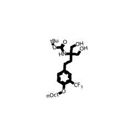 CCCCCCCCOc1ccc(CCC(CO)(CO)NC(=O)OC(C)(C)C)cc1C(F)(F)F